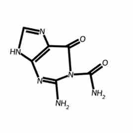 NC(=O)n1c(N)nc2[nH]cnc2c1=O